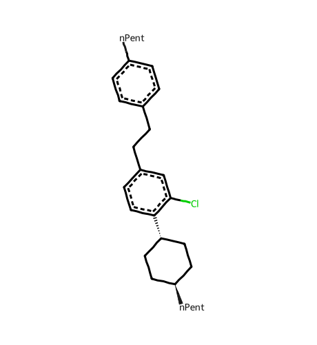 CCCCCc1ccc(CCc2ccc([C@H]3CC[C@H](CCCCC)CC3)c(Cl)c2)cc1